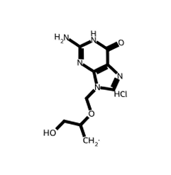 Cl.[CH2]C(CO)OCn1cnc2c(=O)[nH]c(N)nc21